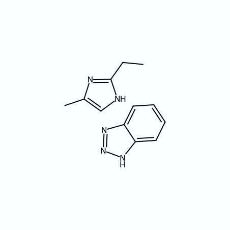 CCc1nc(C)c[nH]1.c1ccc2[nH]nnc2c1